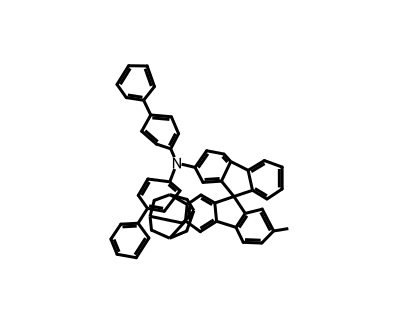 Cc1ccc2c(c1)C1(c3ccccc3-c3ccc(N(c4ccc(-c5ccccc5)cc4)c4ccc(-c5ccccc5)cc4)cc31)c1cc3c(cc1-2)C1CC2CC(C1)CC3C2